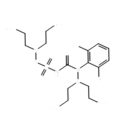 CCCCCCCCCCCCN(CCCCCCCCCCCC)NS(=O)(=O)NC(=O)N(c1c(C(C)C)cccc1C(C)C)N(CCCCCCCCCCCC)CCCCCCCCCCCC